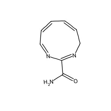 NC(=O)C1=NCC=CC=CC=N1